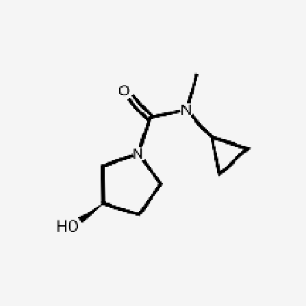 CN(C(=O)N1CC[C@@H](O)C1)C1CC1